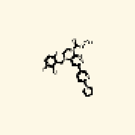 CC(C)(C)OC(=O)N1CCN(Cc2c(Cl)ccc(F)c2Cl)c2cc(-c3ccc(N4CCCC4)nc3)nnc21